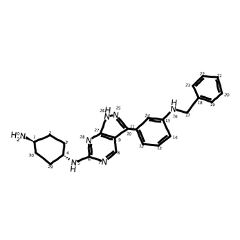 N[C@H]1CC[C@H](Nc2ncc3c(-c4cccc(NCc5ccccc5)c4)n[nH]c3n2)CC1